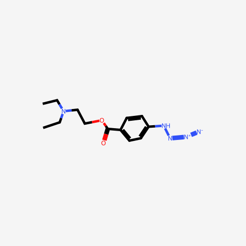 CCN(CC)CCOC(=O)c1ccc(NN=[N+]=[N-])cc1